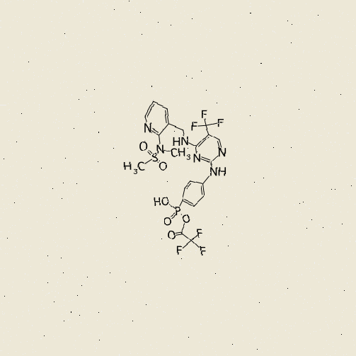 CN(c1ncccc1CNc1nc(Nc2ccc(P(=O)(O)OC(=O)C(F)(F)F)cc2)ncc1C(F)(F)F)S(C)(=O)=O